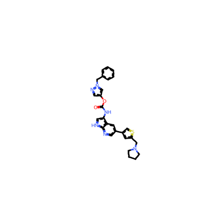 O=C(Nc1c[nH]c2ncc(-c3csc(CN4CCCC4)c3)cc12)Oc1cnn(Cc2ccccc2)c1